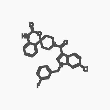 O=C1Nc2ccccc2C2(CCN(C(=O)c3cn(Cc4cccc(F)c4)c4cc(Cl)ccc34)CC2)O1